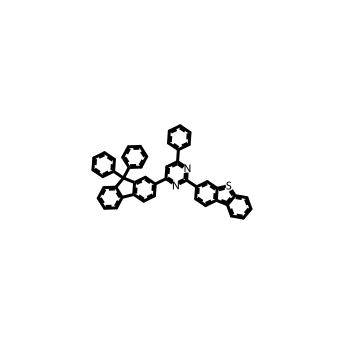 c1ccc(-c2cc(-c3ccc4c(c3)C(c3ccccc3)(c3ccccc3)c3ccccc3-4)nc(-c3ccc4c(c3)sc3ccccc34)n2)cc1